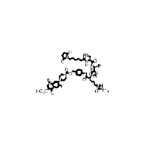 CCn1cc(C(=O)O)c(=O)c2cc(F)c(N3CCN(C(=O)OCc4ccc(NC(=O)[C@H](CCCNC(N)=O)n5cc([C@@H](NC(=O)[C@H](CC(C)C)NC(=O)CCCCCN6C(=O)CCC6=O)C(C)C)nn5)cc4)CC3)cc21